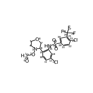 O=[PH2]ON1CCOCC1c1ccc(Cl)cc1NS(=O)(=O)c1ccc(Cl)c(C(F)(F)F)c1